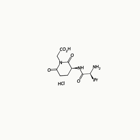 CC(C)[C@H](N)C(=O)N[C@H]1CCC(=O)N(CC(=O)O)C1=O.Cl